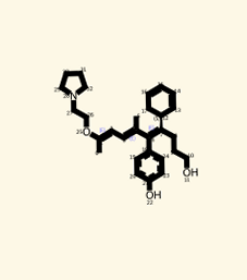 C\C(=C/C=C(C)/C(=C(/CCCO)[C@@H]1C=CC=CC1)c1ccc(O)cc1)OCCN1CCCC1